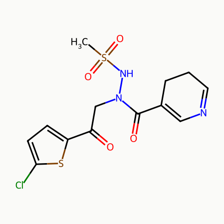 CS(=O)(=O)NN(CC(=O)c1ccc(Cl)s1)C(=O)C1=CN=CCC1